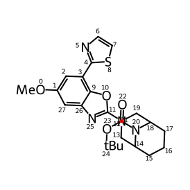 COc1cc(-c2nccs2)c2oc(N3CC4CCCC(C3)N4C(=O)OC(C)(C)C)nc2c1